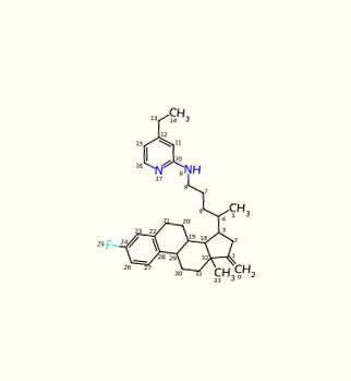 C=C1CC(C(C)CCCNc2cc(CC)ccn2)C2C3CCc4cc(F)ccc4C3CCC12C